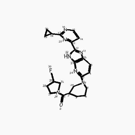 O=C(C1CCCN(c2ccc3nc(-c4ccnc(C5CC5)n4)[nH]c3n2)C1)N1CCC(F)C1